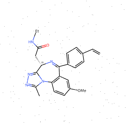 C=Cc1ccc(C2=N[C@@H](CC(=O)NCC)c3nnc(C)n3-c3ccc(OC)cc32)cc1